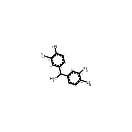 CCc1ccc(C(C)c2ccc(CC)c(CC)c2)cc1CC